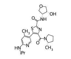 Cc1cc(NC(C)C)ncc1-c1sc(C(=O)N[C@@H]2COC[C@@H]2O)nc1C(=O)N1CCC[C@@H]1C